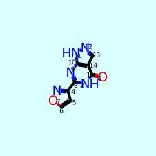 O=c1[nH]c(-c2ccon2)nc2[nH]ncc12